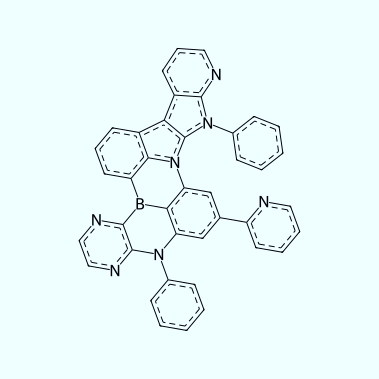 c1ccc(N2c3cc(-c4ccccn4)cc4c3B(c3nccnc32)c2cccc3c5c6cccnc6n(-c6ccccc6)c5n-4c23)cc1